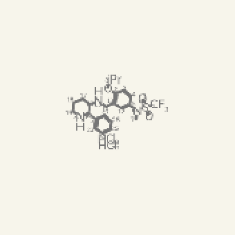 CC(C)Oc1ccc(N(C)S(=O)(=O)C(F)(F)F)cc1CN[C@@H]1CCCN[C@@H]1c1ccccc1.Cl.Cl